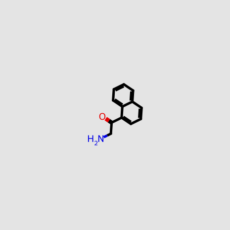 NCC(=O)c1cccc2ccccc12